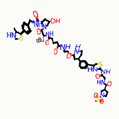 CC1NCSC1c1ccc(CNC(=O)[C@@H]2C[C@@H](O)CN2C(=O)[C@@H](NC(=O)CCCC(=O)NCCOC2CC(c3cccc(C4CSC(NC(=O)CNC(=O)C5CCN(S(C)(=O)=O)C5)N4)c3)CCN2)C(C)(C)C)cc1